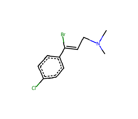 CN(C)CC=C(Br)c1ccc(Cl)cc1